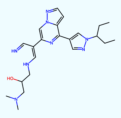 CCC(CC)n1cc(-c2nc(/C(C=N)=C/NCC(O)CN(C)C)cn3nccc23)cn1